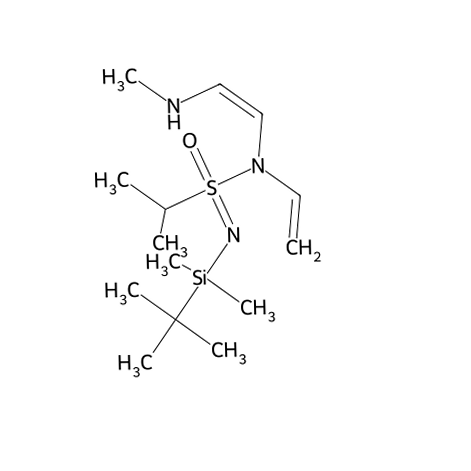 C=CN(/C=C\NC)S(=O)(=N[Si](C)(C)C(C)(C)C)C(C)C